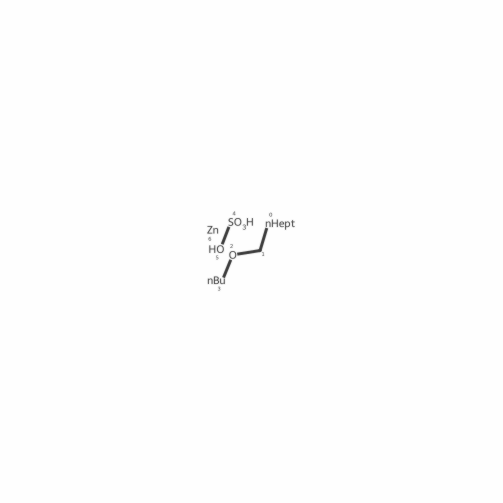 CCCCCCCCOCCCC.O=S(=O)(O)O.[Zn]